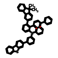 CC1(C)c2ccccc2-c2cc(-c3cccc(N(c4ccccc4)c4cccc(-c5ccc6c(c5)sc5ccccc56)c4)c3-c3ccc(-c4ccccc4)cc3)ccc21